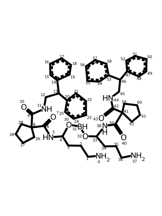 NCCCC(NC(=O)C1(C(=O)NCC(c2ccccc2)c2ccccc2)CCCC1)OBOC(CCCN)NC(=O)C1(C(=O)NCC(c2ccccc2)c2ccccc2)CCCC1